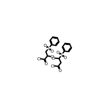 O=C(Cl)C(Cl)CS(=O)(=O)c1ccccc1.O=C(Cl)CC(Cl)S(=O)(=O)c1ccccc1